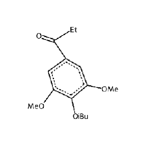 CCC(=O)c1cc(OC)c(OCC(C)C)c(OC)c1